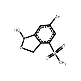 CC(=O)c1cc2c(c(S(C)(=O)=O)c1)COB2O